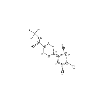 CC(C)(C)OC(=O)N1CCN(c2cc(Cl)c(Cl)cc2Br)CC1